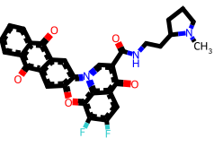 CN1CCCC1CCNC(=O)c1cn2c3cc4c(=O)c5ccccc5c(=O)c4cc3oc3c(F)c(F)cc(c1=O)c32